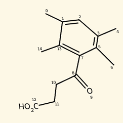 Cc1cc(C)c(C)c(C(=O)CCC(=O)O)c1C